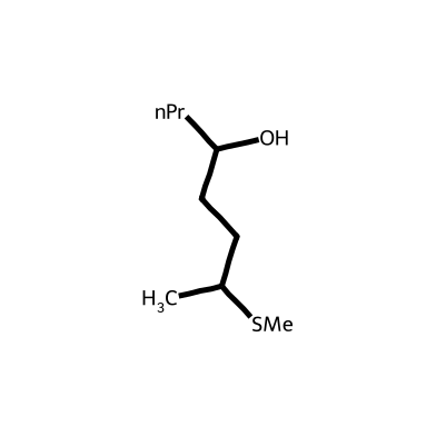 CCCC(O)CCC(C)SC